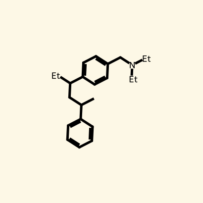 CCC(CC(C)c1ccccc1)c1ccc(CN(CC)CC)cc1